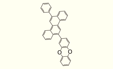 c1ccc(-c2cc3c4ccccc4c(-c4ccc5c(c4)Oc4ccccc4O5)cc3c3ccccc23)cc1